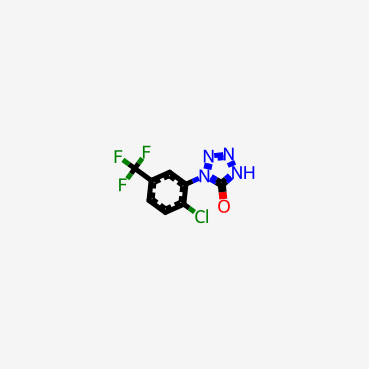 O=c1[nH]nnn1-c1cc(C(F)(F)F)ccc1Cl